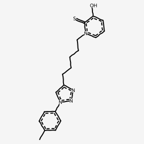 Cc1ccc(-n2cc(CCCCCn3cccc(O)c3=S)nn2)cc1